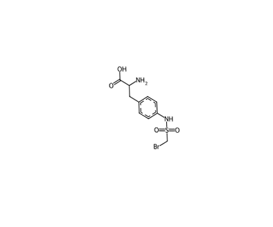 NC(Cc1ccc(NS(=O)(=O)CBr)cc1)C(=O)O